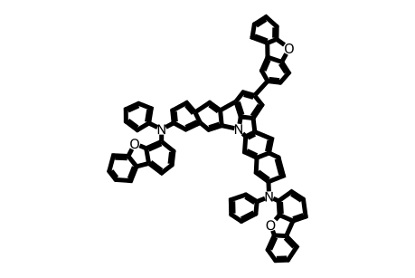 c1ccc(N(c2ccc3cc4c5cc(-c6ccc7oc8ccccc8c7c6)cc6c7cc8ccc(N(c9ccccc9)c9cccc%10c9oc9ccccc9%10)cc8cc7n(c4cc3c2)c56)c2cccc3c2oc2ccccc23)cc1